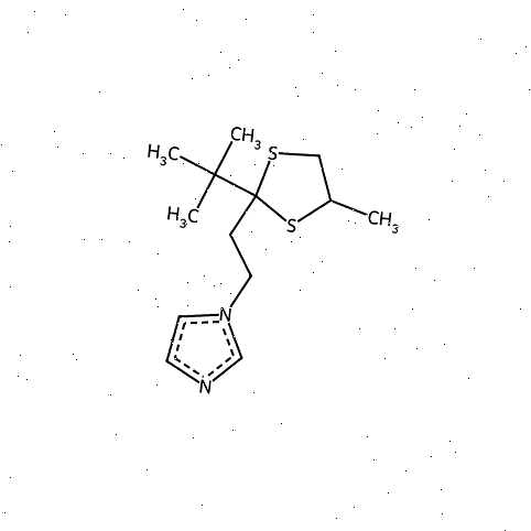 CC1CSC(CCn2ccnc2)(C(C)(C)C)S1